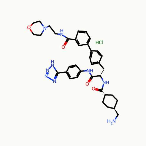 Cl.NC[C@H]1CC[C@H](C(=O)N[C@@H](Cc2ccc(-c3cccc(C(=O)NCCN4CCOCC4)c3)cc2)C(=O)Nc2ccc(-c3nnn[nH]3)cc2)CC1